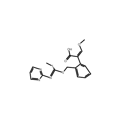 COC=C(C(=O)O)c1ccccc1CSC(=Nc1ncccn1)SC